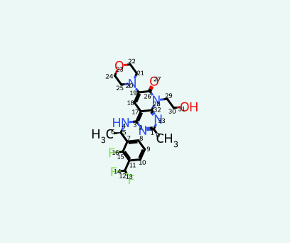 Cc1nc(N[C@H](C)c2cccc(C(F)F)c2F)c2cc(N3CCOCC3)c(=O)n(CCO)c2n1